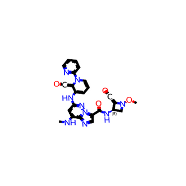 CNc1cc(NC2=CC=CN(c3ccccn3)C2=C=O)nn2c(C(=O)N[C@@H]3CN(OC)C3=C=O)cnc12